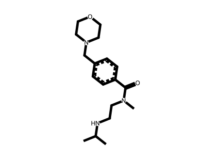 CC(C)NCCN(C)C(=O)c1ccc(CN2CCOCC2)cc1